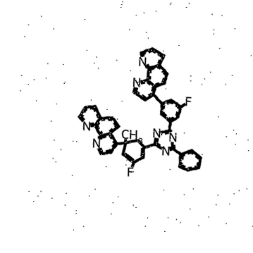 CC1(c2ccnc3c2ccc2cccnc23)C=C(F)C=C(c2nc(-c3ccccc3)nc(-c3cc(F)cc(-c4ccnc5c4ccc4cccnc45)c3)n2)C1